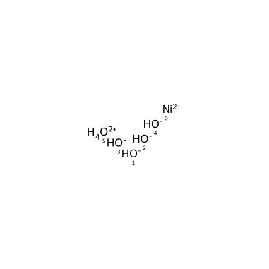 [Ni+2].[OH-].[OH-].[OH-].[OH-].[OH4+2]